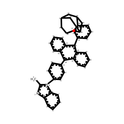 Cc1nc2ccccc2n1-c1ccc(-c2c3ccccc3c(-c3cccc4c3C3CC5CC(CC4C5)C3)c3ccccc23)cc1